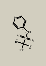 O=S(=O)(Nc1ccncc1)C(Br)(Br)Br